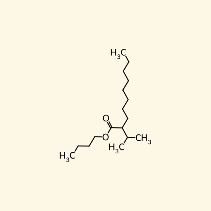 CCCCCCCCC(C(=O)OCCCC)C(C)C